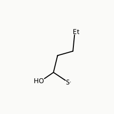 CCCCC(O)[S]